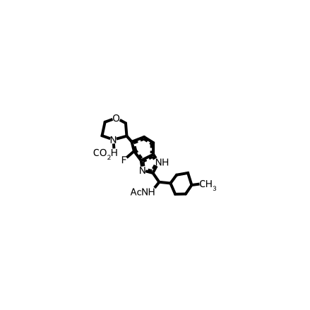 CC(=O)NC(c1nc2c(F)c(C3COCCN3C(=O)O)ccc2[nH]1)C1CCC(C)CC1